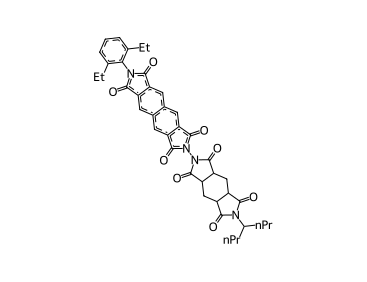 CCCC(CCC)N1C(=O)C2CC3C(=O)N(n4c(=O)c5cc6cc7c(=O)n(-c8c(CC)cccc8CC)c(=O)c7cc6cc5c4=O)C(=O)C3CC2C1=O